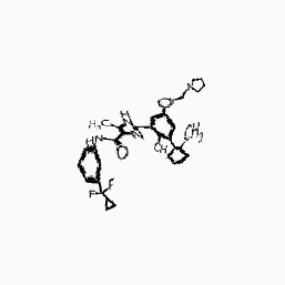 Cc1ccccc1-c1cc(OCCN2CCCC2)cc(-c2nc(C(=O)Nc3cccc(C(F)(F)C4CC4)c3)c(C)[nH]2)c1C